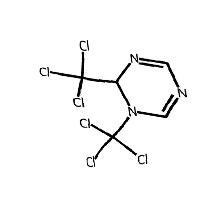 ClC(Cl)(Cl)C1N=CN=CN1C(Cl)(Cl)Cl